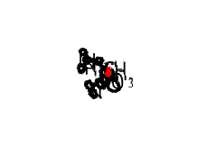 C/C=C1\C(=C/C)OC/C=C\C=C/CC12c1ccc(-c3cccc(-c4nc(-c5ccccc5)nc(-c5ccccc5)n4)c3)cc1-c1cc(-c3cccc4cccnc34)ccc12